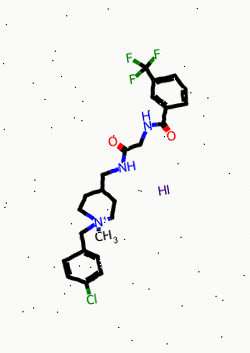 C[N+]1(Cc2ccc(Cl)cc2)CCC(CNC(=O)CNC(=O)c2cccc(C(F)(F)F)c2)CC1.I